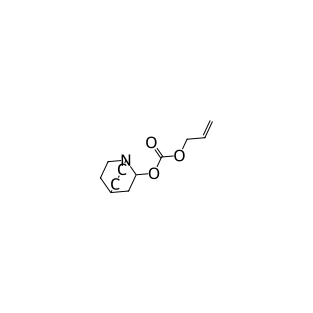 C=CCOC(=O)OC1CC2CCN1CC2